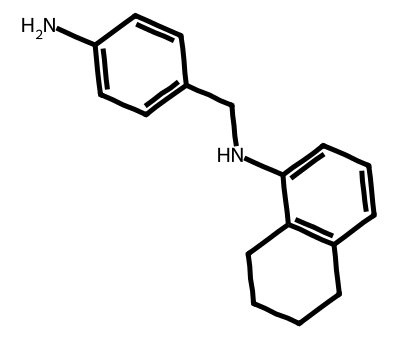 Nc1ccc(CNc2cccc3c2CCCC3)cc1